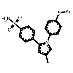 CC(=O)Sc1ccc(-n2cc(C)cc2-c2ccc(S(N)(=O)=O)cc2)cc1